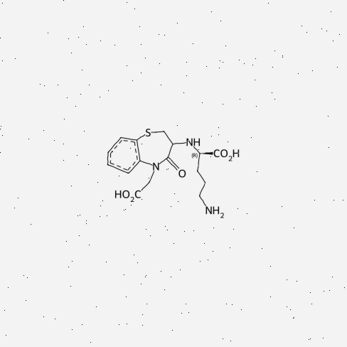 NCCC[C@@H](NC1CSc2ccccc2N(CC(=O)O)C1=O)C(=O)O